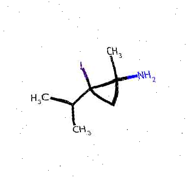 CC(C)C1(I)CC1(C)N